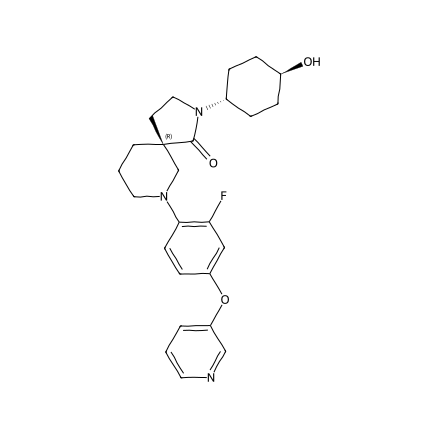 O=C1N([C@H]2CC[C@H](O)CC2)CC[C@@]12CCCN(c1ccc(Oc3cccnc3)cc1F)C2